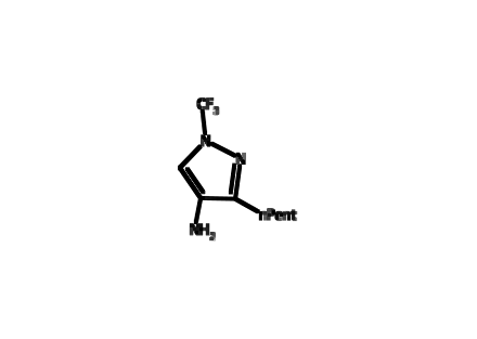 CCCCCc1nn(C(F)(F)F)cc1N